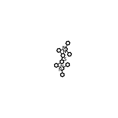 c1ccc(-c2cc(-c3ccccc3)nc(-c3ccccc3-c3ccc4sc5ccc(-c6ccccc6-c6nc(-c7ccccc7)cc(-c7ccccc7)n6)cc5c4c3)n2)cc1